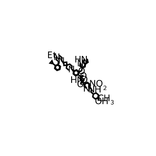 CCN1CCN(C2CC3(CCN(c4ccc(C(=O)NS(=O)(=O)c5cnc(NCC6CCC(C)(O)CC6)c([N+](=O)[O-])c5)c(Oc5cnc6[nH]ccc6c5)c4)CC3)C2)C(c2ccccc2C2CC2)C1